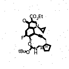 CCOC(=O)c1cn(C2CC2)c2c(C#CC[C@@H]3CCC[C@H]3CNC(=O)OC(C)(C)C)c(F)c(F)cc2c1=O